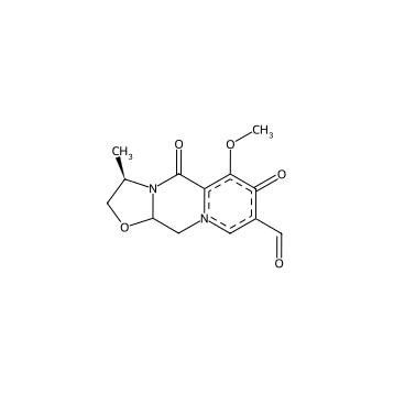 COc1c2n(cc(C=O)c1=O)CC1OC[C@@H](C)N1C2=O